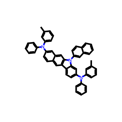 Cc1cccc(N(c2ccccc2)c2ccc3cc4c5ccc(N(c6ccccc6)c6cccc(C)c6)cc5n(-c5ccc6ccccc6c5)c4cc3c2)c1